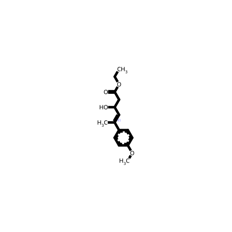 CCOC(=O)CC(O)/C=C(\C)c1ccc(OC)cc1